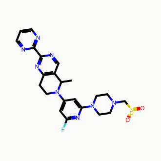 CC1c2cnc(-c3ncccn3)nc2CCN1c1cc(F)nc(N2CCN(C[SH](=O)=O)CC2)c1